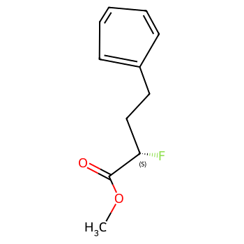 COC(=O)[C@@H](F)CCc1ccccc1